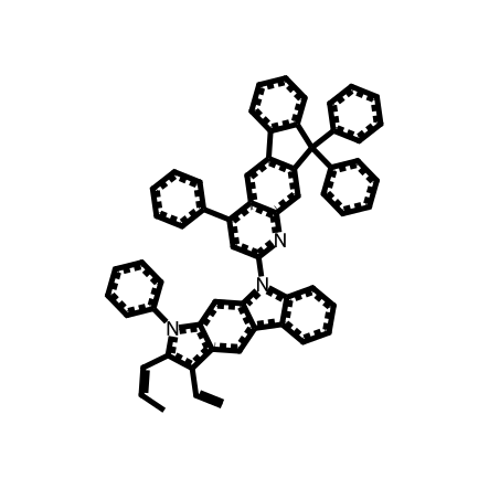 C=Cc1c(/C=C\C)n(-c2ccccc2)c2cc3c(cc12)c1ccccc1n3-c1cc(-c2ccccc2)c2cc3c(cc2n1)C(c1ccccc1)(c1ccccc1)c1ccccc1-3